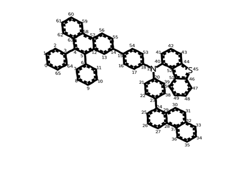 c1ccc(-c2c(-c3ccccc3)c3cc(-c4ccc(N(c5ccc(-c6cccc7c6ccc6ccccc67)cc5)c5cccc6sc7ccccc7c56)cc4)ccc3c3ccccc23)cc1